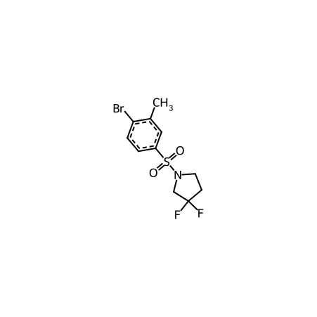 Cc1cc(S(=O)(=O)N2CCC(F)(F)C2)ccc1Br